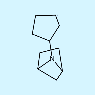 [CH]1CCC(N2C3CCC2C3)C1